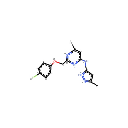 CCc1cc(Nc2cc(C)n[nH]2)nc(COc2ccc(F)cc2)n1